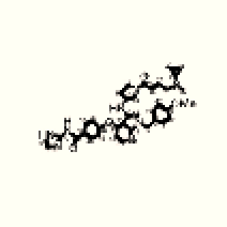 COc1ccc(Cn2nc(N[C@@H]3CCN(C(=O)C=CCN(C)C4CC4)C3)c3c(Oc4ccc(C(=O)Nc5ncc[nH]5)cc4)ccnc32)cc1